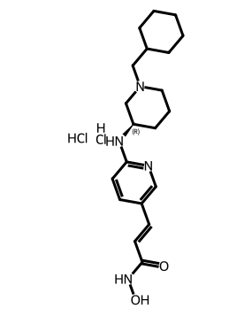 Cl.Cl.O=C(C=Cc1ccc(N[C@@H]2CCCN(CC3CCCCC3)C2)nc1)NO